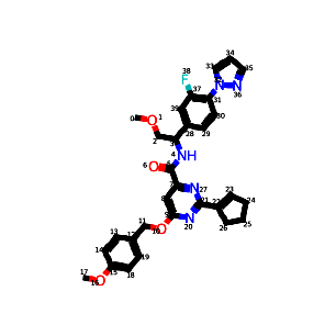 COCC(NC(=O)c1cc(OCc2ccc(OC)cc2)nc(C2=CCCC2)n1)c1ccc(-n2cccn2)c(F)c1